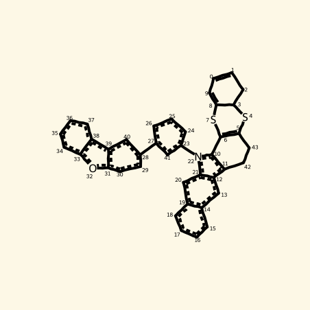 C1=CCC2SC3=C(SC2=C1)c1c(c2cc4ccccc4cc2n1-c1cccc(-c2ccc4oc5ccccc5c4c2)c1)CC3